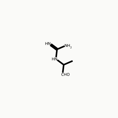 CC(C=O)NC(=N)N